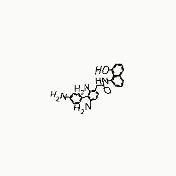 Nc1ccc(-c2c(N)ccc(CC(=O)Nc3cccc4cccc(O)c34)c2N)cc1